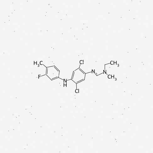 CCN(C)C=Nc1cc(Cl)c(Nc2ccc(C)c(F)c2)cc1Cl